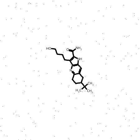 CC(C)(C)C1CCc2nc3c(CCCCO)c(C(N)=O)[nH]c3cc2C1